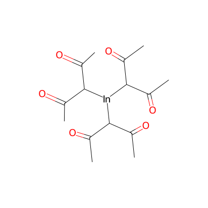 CC(=O)[CH](C(C)=O)[In]([CH](C(C)=O)C(C)=O)[CH](C(C)=O)C(C)=O